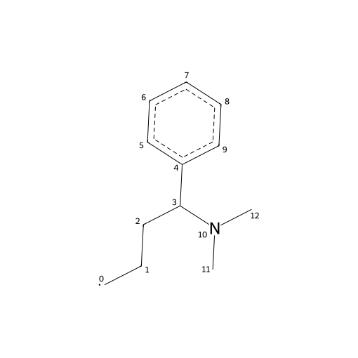 [CH2]CCC(c1ccccc1)N(C)C